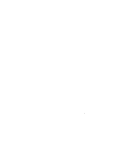 O=C(O)c1cccc2cc(CBr)oc12